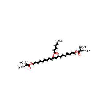 CCCCCCCCC(CCCCCC)C(=O)OCCCCCCCCCC(CCCCCCCCCOC(=O)C(CCCCCC)CCCCCCCC)OC(=O)CCCCNC